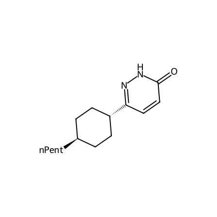 CCCCC[C@H]1CC[C@H](c2ccc(=O)[nH]n2)CC1